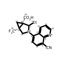 CCC1N(c2ccc(C#N)c3ncccc23)C[C@@]2(C(F)(F)F)C[C@@]12C(=O)O